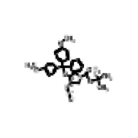 COc1ccc(C(O[C@H]2CN(C(=O)OC(C)(C)C)C[C@H]2N=[N+]=[N-])(c2ccccc2)c2ccc(OC)cc2)cc1